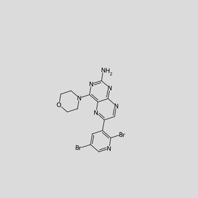 Nc1nc(N2CCOCC2)c2nc(-c3cc(Br)cnc3Br)cnc2n1